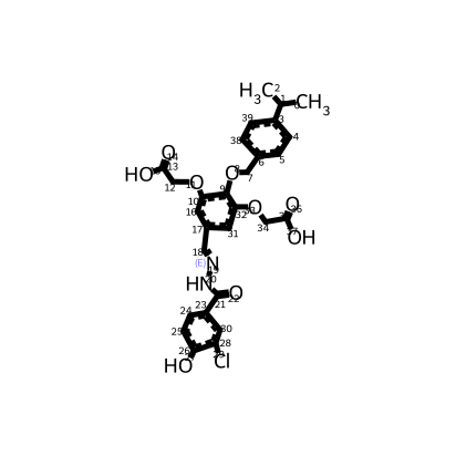 CC(C)c1ccc(COc2c(OCC(=O)O)cc(/C=N/NC(=O)c3ccc(O)c(Cl)c3)cc2OCC(=O)O)cc1